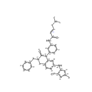 CN(C)C/C=C/C(=O)Nc1cccc(N2C(=O)N(Cc3ccccc3)Cc3cnc(Nc4cn(C)nc4Cl)nc32)c1